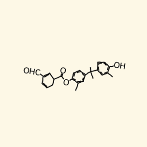 Cc1cc(C(C)(C)c2ccc(OC(=O)C3C=C(C=O)C=CC3)c(C)c2)ccc1O